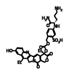 CCc1c2c(nc3ccc(O)cc13)-c1cc3c(c(=O)n1C2)COC(=O)[C@@]3(CC)OC(=O)OCc1ccc(N[C@@H](CCCN)C(N)=O)cc1S(=O)(=O)O